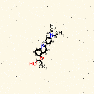 CCC(CO)Oc1cccc2nc(-c3ccc(N(CC)CC)cc3)ccc12